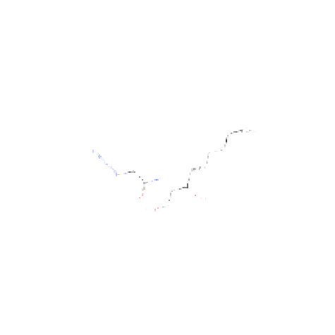 CCCCCCCCCCCCC/C=C/C(O)C(CO)NC(=O)CN=[N+]=[N-]